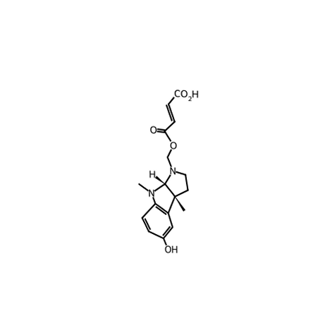 CN1c2ccc(O)cc2[C@@]2(C)CCN(COC(=O)/C=C/C(=O)O)[C@@H]12